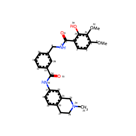 COc1ccc(C(=O)NCc2cccc(C(=O)Nc3ccc4c(c3)CN(C)CC4)c2)c(O)c1OC